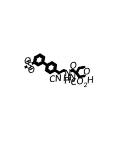 CS(=O)(=O)c1cccc(-c2ccc(C(C#N)CNC(=O)C3(NC(=O)O)CCOCC3)cc2)c1